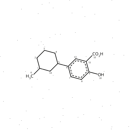 CC1CCCC(c2ccc(O)c(C(=O)O)c2)C1